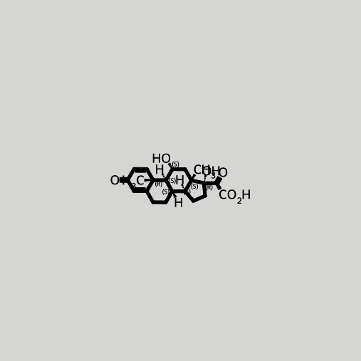 C[C@]12C=CC(=O)C=C1CC[C@@H]1[C@@H]2[C@@H](O)C[C@@]2(C)[C@H]1CC[C@]2(O)C(=O)C(=O)O